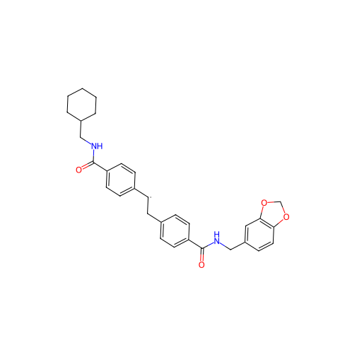 O=C(NCc1ccc2c(c1)OCO2)c1ccc(C[CH]c2ccc(C(=O)NCC3CCCCC3)cc2)cc1